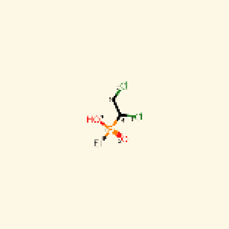 CCP(=O)(O)C(Cl)CCl